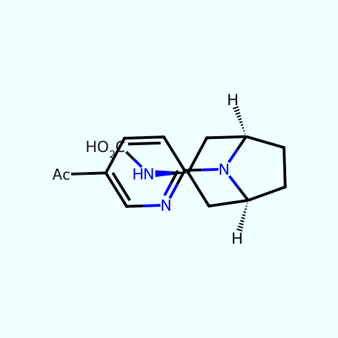 CC(=O)c1ccc(N2[C@@H]3CC[C@H]2C[C@@H](NC(=O)O)C3)nc1